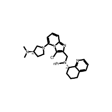 CCCN(Cc1nc2cccc(N3CC[C@@H](N(C)C)C3)n2c1Cl)[C@H]1CCCc2cccnc21